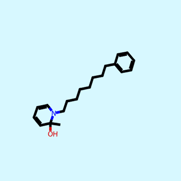 CC1(O)C=CC=CN1CCCCCCCCc1ccccc1